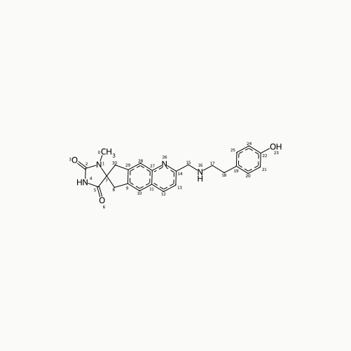 CN1C(=O)NC(=O)C12Cc1cc3ccc(CNCCc4ccc(O)cc4)nc3cc1C2